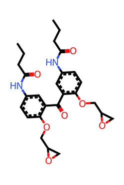 CCCC(=O)Nc1ccc(OCC2CO2)c(C(=O)c2cc(NC(=O)CCC)ccc2OCC2CO2)c1